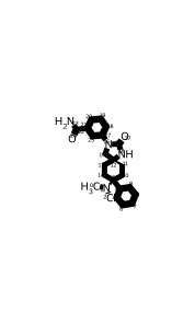 CN(C)[C@]1(c2ccccc2)CC[C@@]2(CC1)CN(c1cccc(C(N)=O)c1)C(=O)N2